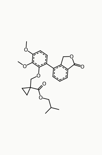 COc1ccc(-c2cccc3c2COC3=O)c(OCC2(C(=O)OCC(C)C)CC2)c1OC